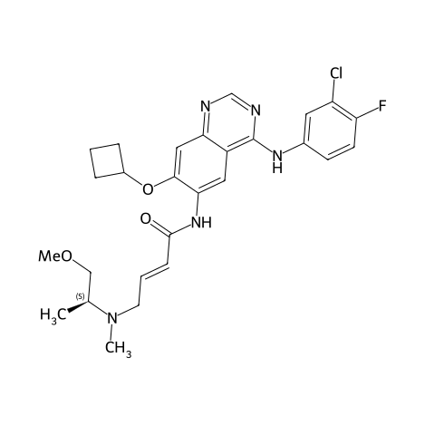 COC[C@H](C)N(C)CC=CC(=O)Nc1cc2c(Nc3ccc(F)c(Cl)c3)ncnc2cc1OC1CCC1